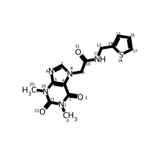 Cn1c(=O)c2c(ncn2CC(=O)NCc2cccs2)n(C)c1=O